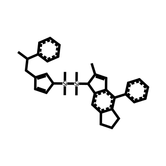 CC1=Cc2c(cc3c(c2-c2ccccc2)CCC3)C1[Si](C)(C)[Si](C)(C)C1C=CC(CC(C)c2ccccc2)=C1